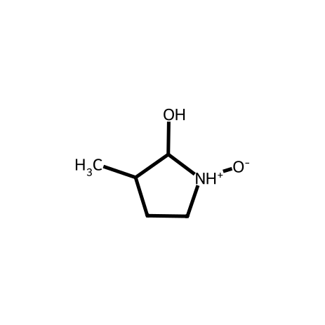 CC1CC[NH+]([O-])C1O